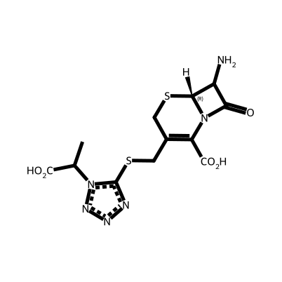 CC(C(=O)O)n1nnnc1SCC1=C(C(=O)O)N2C(=O)C(N)[C@H]2SC1